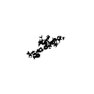 COCCOc1nc2[nH]cc(F)c2cc1Oc1cc(N2CCC3(CC2)CC(N2CCN(C(=O)C4CC4)C[C@H]2c2ccccc2C(C)C)C3)ccc1C(=O)NS(=O)(=O)c1cc2c(c([N+](=O)[O-])c1)N[C@@H](C1CCC(C)(O)CC1)CO2